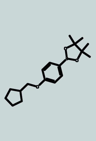 CC1(C)OB(c2ccc(OCC3CCCC3)cc2)OC1(C)C